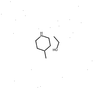 CC1CCNCC1.CCO